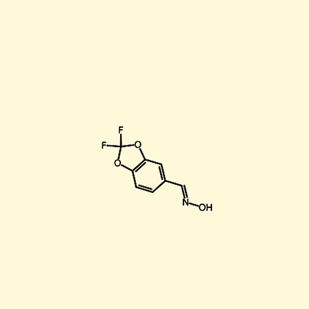 ON=Cc1ccc2c(c1)OC(F)(F)O2